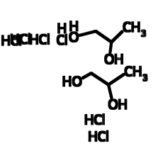 CC(O)CO.CC(O)CO.Cl.Cl.Cl.Cl.Cl.Cl